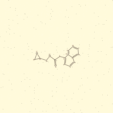 O=C(Cc1cccc2ccccc12)OCC1CO1